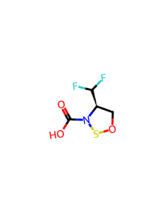 O=C(O)N1SOC[C@@H]1C(F)F